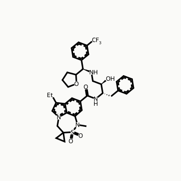 CCc1cn2c3c(cc(C(=O)N[C@@H](Cc4ccccc4)[C@H](O)CN[C@H](c4cccc(C(F)(F)F)c4)C4CCCO4)cc13)N(C)S(=O)(=O)C1(CC1)C2